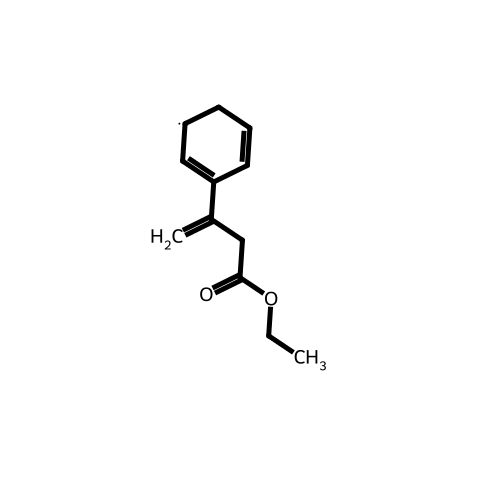 C=C(CC(=O)OCC)C1=C[CH]CC=C1